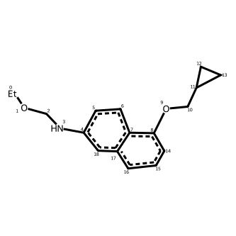 CCOCNc1ccc2c(OCC3CC3)cccc2c1